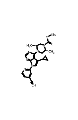 C#Cc1ccnc(-n2cc(C3CC3)c3c(N4C[C@@H](C)N(C(=O)OC(C)(C)C)C[C@@H]4C)ncnc32)c1